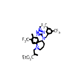 CCOC(=O)C(C)CN1CCC[C@H](N(Cc2cc(C(F)(F)F)cc(C(F)(F)F)c2)c2nnn(C)n2)c2cc(C)c(C(F)(F)F)cc21